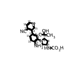 CC(C)(O)[C@@H]1C[C@H](NC(=O)O)CN1c1cc(-c2cnccc2C#N)ccc1N